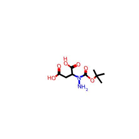 CC(C)(C)OC(=O)N(N)C(CC(=O)O)C(=O)O